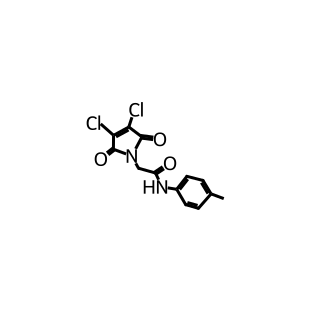 Cc1ccc(NC(=O)CN2C(=O)C(Cl)=C(Cl)C2=O)cc1